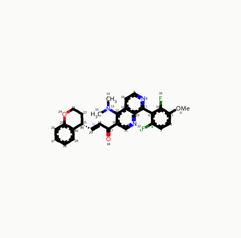 COc1ccc(F)c(-c2nccc3c(N(C)C)c(C(=O)/C=C/[C@H]4CCOc5ccccc54)cnc23)c1F